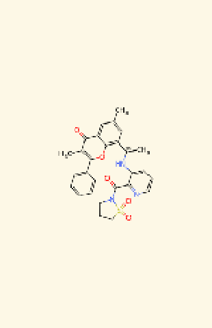 Cc1cc([C@@H](C)Nc2cccnc2C(=O)N2CCCS2(=O)=O)c2oc(-c3ccccc3)c(C)c(=O)c2c1